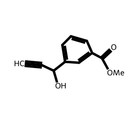 C#CC(O)c1cccc(C(=O)OC)c1